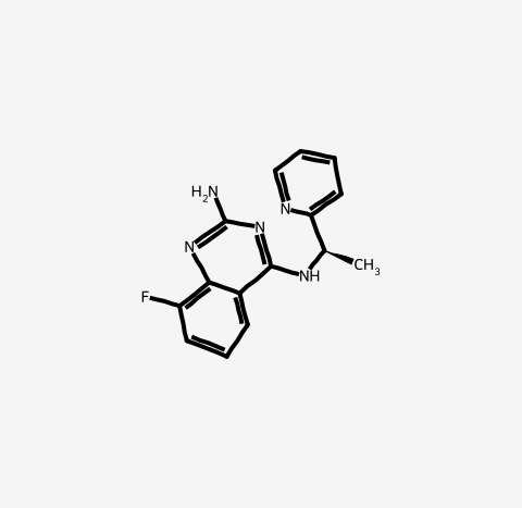 C[C@@H](Nc1nc(N)nc2c(F)cccc12)c1ccccn1